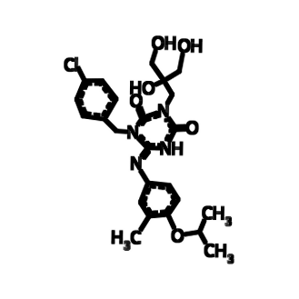 Cc1cc(/N=c2\[nH]c(=O)n(CC(O)(CO)CO)c(=O)n2Cc2ccc(Cl)cc2)ccc1OC(C)C